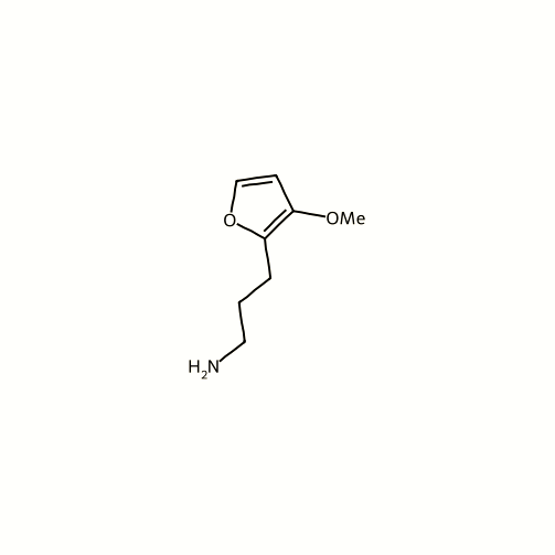 COc1ccoc1CCCN